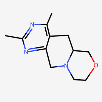 Cc1nc(C)c2c(n1)CN1CCOCC1C2